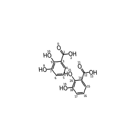 O=C(O)c1cccc(O)c1O.O=C(O)c1cccc(O)c1O